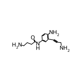 NCC#Cc1cc(NC(=O)CCCN)ccc1N